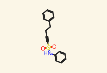 O=S(=O)(C#CCCc1ccccc1)Nc1ccccc1